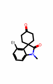 CCc1cccc2c1C1(CCC(=O)CC1)C(=O)N2C